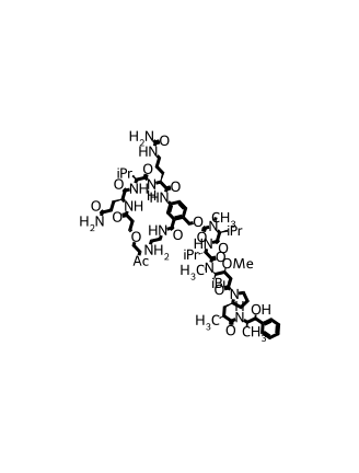 CC[C@H](C)[C@@H]([C@@H](CC(=O)N1CCC[C@H]1C[C@@H](C)C(=O)N[C@H](C)[C@@H](O)c1ccccc1)OC)N(C)C(=O)[C@@H](NC(=O)[C@H](C(C)C)N(C)C(=O)OCc1ccc(NC(=O)[C@H](CCCNC(N)=O)NC(=O)[C@@H](NC(=O)[C@H](CCC(N)=O)NC(=O)CCOCCC(C)=O)C(C)C)cc1C(=O)NCCN)C(C)C